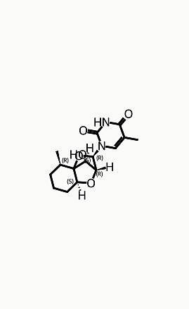 Cc1cn([C@@H]2OC34[C@H](C)CCC[C@@H]3O[C@@H]2[C@@H]4O)c(=O)[nH]c1=O